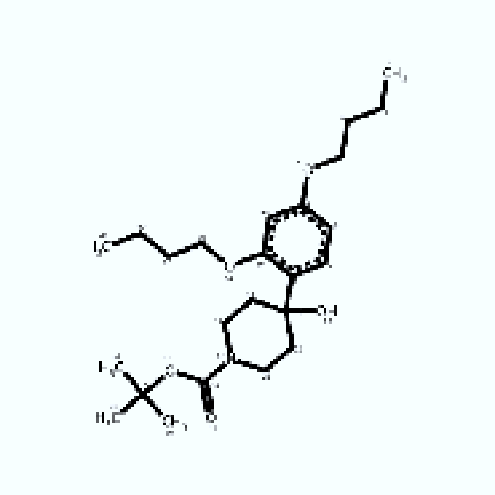 CCCCOc1ccc(C2(O)CCN(C(=O)OC(C)(C)C)CC2)c(OCCCC)c1